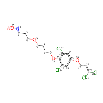 ON=CCCOCCCCOc1c(Cl)cc(OCC=C(Cl)Cl)cc1Cl